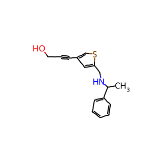 CC(NCc1cc(C#CCO)cs1)c1ccccc1